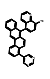 Oc1ccc(-c2c3ccccc3cc3c2ccc2c(-c4cncnc4)cccc23)c2cccnc12